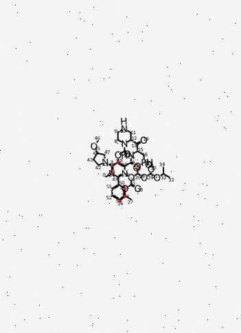 CCCCOC(=O)N1CCNCC1C(=O)C(C[PH](=O)OC(OC(=O)OC(C)C)OC(=O)OC(C)C)NC(=O)c1cc(N2CCC(OC)C2)nc(-c2ccccc2)n1